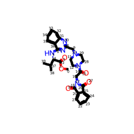 COC(=O)[C@@H](Nc1nc(CN2CCN(C(=O)CN3C(=O)c4ccccc4C3=O)CC2)nc2ccccc12)C(C)C